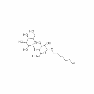 C=CCCCCCCO[C@@H]1OC(CO)[C@@H](O[C@@H]2OC(CO)[C@H](O)[C@H](O)C2O)[C@H](O)C1O